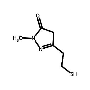 CN1N=C(CCS)CC1=O